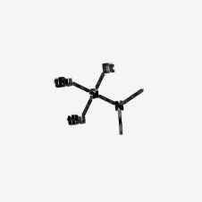 CC[Si](N(C)C)(C(C)(C)C)C(C)(C)C